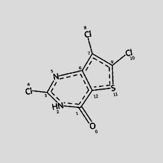 O=c1[nH]c(Cl)nc2c(Cl)c(Cl)sc12